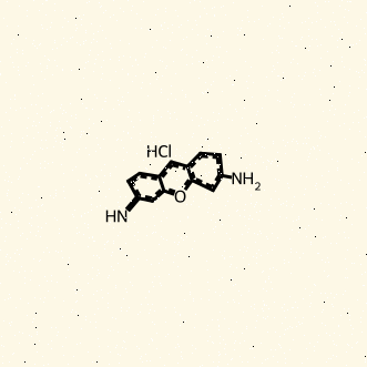 Cl.N=c1ccc2cc3ccc(N)cc3oc-2c1